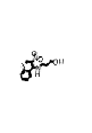 O=[N+]([O-])c1cnc2ccccc2c1NCCCO